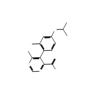 Cc1cc(OC(C)C)ccc1-c1c(C)ncnc1C(=O)O